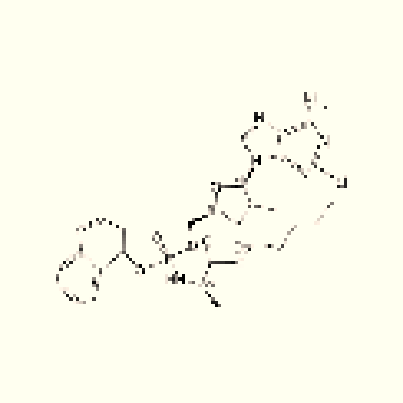 CCCCCOC(=O)[C@@H](C)NP(=O)(OC[C@H]1O[C@@H](n2cnc3c(N)nc(Cl)nc32)C(C)C1O)Oc1cccc2ccccc12